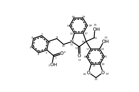 O=C(O)c1ccccc1CCN1C(=O)C(CO)(c2cc3c(cc2O)OCO3)c2ccccc21